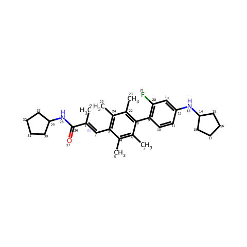 C/C(=C\c1c(C)c(C)c(-c2ccc(NC3CCCC3)cc2F)c(C)c1C)C(=O)NC1CCCC1